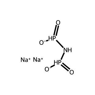 O=[PH]([O-])N[PH](=O)[O-].[Na+].[Na+]